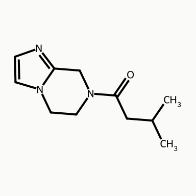 CC(C)CC(=O)N1CCn2ccnc2C1